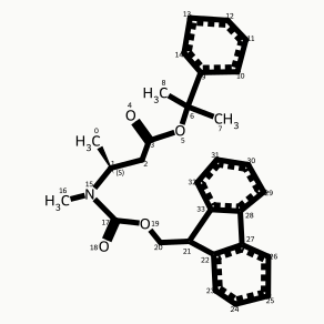 C[C@@H](CC(=O)OC(C)(C)c1ccccc1)N(C)C(=O)OCC1c2ccccc2-c2ccccc21